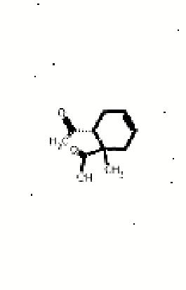 CC(=O)[C@@H]1CC=CC[C@]1(C)C(=O)O